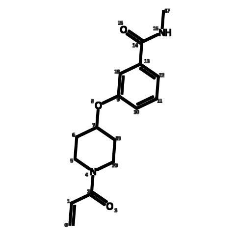 C=CC(=O)N1CCC(Oc2cccc(C(=O)NC)c2)CC1